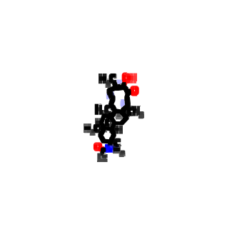 CCC(=O)N[C@]1(C)CC[C@]2(C)CC[C@]3(C)C4C/C=C/C(C)=C(/O)C(=O)/C=C/[C@]4(C)CC[C@@]3(C)[C@@H]2C1